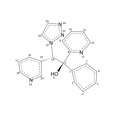 O[C@](c1ccccc1)(c1ccccn1)[C@H](c1cccnc1)n1ccnn1